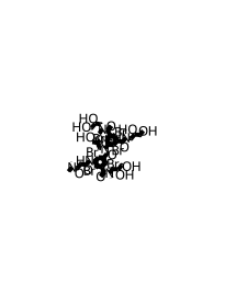 CN(C)C(=O)CC(=O)Nc1c(Br)c(C(=O)N(C)CC(O)CO)c(Br)c(C(=O)N(CC(O)CO)c2c(Br)c(C(=O)NCC(O)CO)c(Br)c(C(=O)N(C)CC(O)CO)c2Br)c1Br